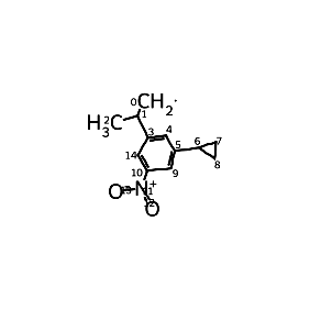 [CH2]C(C)c1cc(C2CC2)cc([N+](=O)[O-])c1